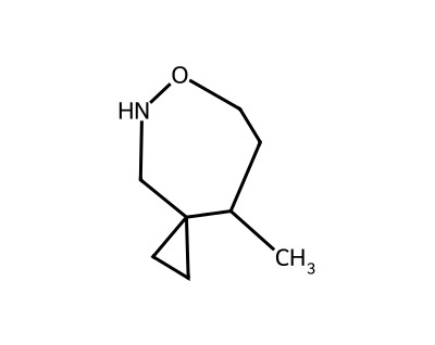 CC1CCONCC12CC2